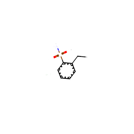 CC(C)Cc1ccccc1S(N)(=O)=O.Cl